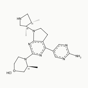 C[C@H]1COCCN1c1nc(-c2cnc(N)nc2)c2c(n1)N([C@@]1(C)CNC[C@@H]1C)CC2.Cl